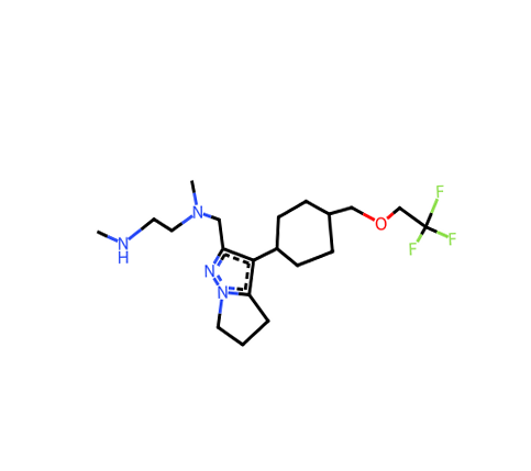 CNCCN(C)Cc1nn2c(c1C1CCC(COCC(F)(F)F)CC1)CCC2